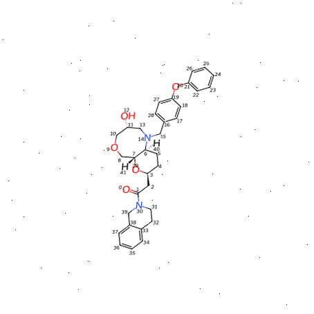 O=C(C[C@@H]1CC[C@H]2[C@@H](COC[C@H](O)CN2Cc2ccc(Oc3ccccc3)cc2)O1)N1CCc2ccccc2C1